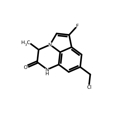 CC1C(=O)Nc2cc(CCl)cc3c(F)cn1c23